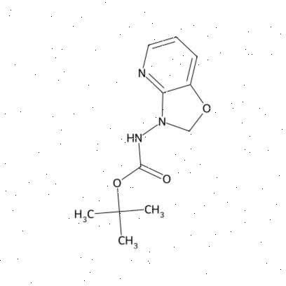 CC(C)(C)OC(=O)NN1COc2cccnc21